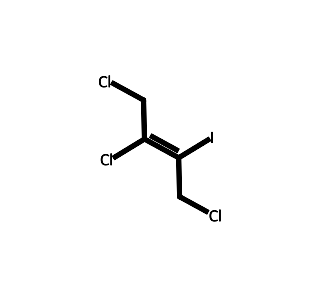 ClC/C(Cl)=C(\I)CCl